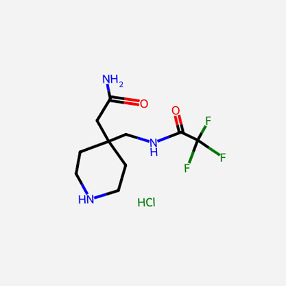 Cl.NC(=O)CC1(CNC(=O)C(F)(F)F)CCNCC1